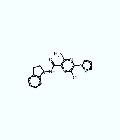 Nc1nc(-n2cccn2)c(Cl)nc1C(=O)N[C@@H]1CCc2ccccc21